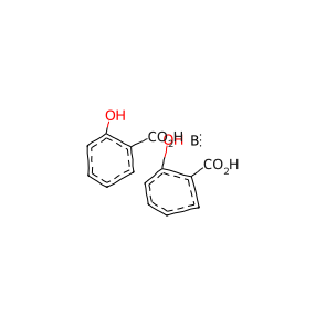 O=C(O)c1ccccc1O.O=C(O)c1ccccc1O.[B]